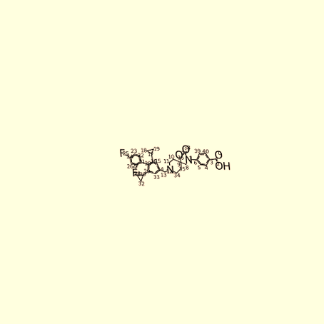 O=C(O)c1ccc(N2CC3(CCN(Cc4cc(C5CC5)c(-c5ccc(F)cc5F)c(C5CC5)c4)CC3)OC2=O)cc1